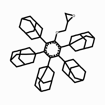 C1C2CC3CC1CC(c1c(OCC4CO4)c(C45CC6CC(CC(C6)C4)C5)c(C45CC6CC(CC(C6)C4)C5)c(C45CC6CC(CC(C6)C4)C5)c1C14CC5CC(CC(C5)C1)C4)(C2)C3